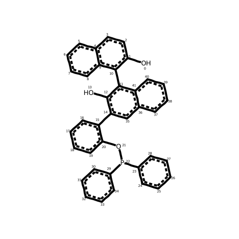 Oc1ccc2ccccc2c1-c1c(O)c(-c2ccccc2OP(c2ccccc2)c2ccccc2)cc2ccccc12